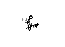 Cn1ncc2c(NCC3CC34CC4)nc(NC[C@H](N)c3ccccc3)nc21